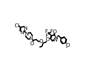 CCC(COc1cnn(Cc2ccc(OC)cc2)c(=O)c1C(F)(F)F)OCCC(=O)N1CCN(c2ncc(Cl)cn2)CC1